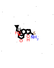 NC(=S)c1ccc2c(c1O)C13CCC(CC4CC4)[C@H](C2)[C@]1(O)CCC(=O)C3